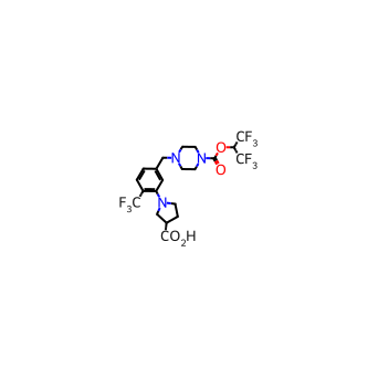 O=C(O)C1CCN(c2cc(CN3CCN(C(=O)OC(C(F)(F)F)C(F)(F)F)CC3)ccc2C(F)(F)F)C1